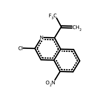 C=C(c1nc(Cl)cc2c([N+](=O)[O-])cccc12)C(F)(F)F